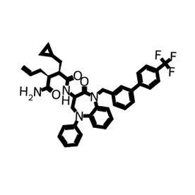 C=CC[C@H](C(N)=O)[C@@H](CC1CC1)C(=O)NC1CN(c2ccccc2)c2ccccc2N(Cc2cccc(-c3ccc(C(F)(F)F)cc3)c2)C1=O